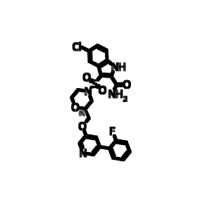 NC(=O)c1[nH]c2ccc(Cl)cc2c1S(=O)(=O)N1CCO[C@H](COc2cncc(-c3ccccc3F)c2)C1